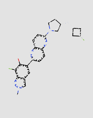 Cn1cc2cc(-c3ccc4nc(N5CC[C@H](N[C@H]6C[C@H](F)C6)C5)ccc4n3)c(O)c(F)c2n1